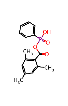 Cc1cc(C)c(C(=O)OP(=O)(O)c2ccccc2)c(C)c1